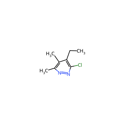 CCc1c(Cl)nnc(C)c1C